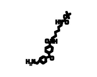 CC(C)(C)OC(=O)NCCCCCCNC(=O)c1ccc(C(=O)c2ccc(CN)cc2)cc1